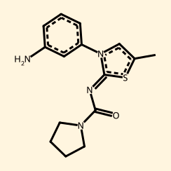 Cc1cn(-c2cccc(N)c2)/c(=N/C(=O)N2CCCC2)s1